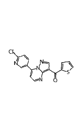 O=C(c1cccs1)c1cnn2c(-c3ccc(Cl)nc3)ccnc12